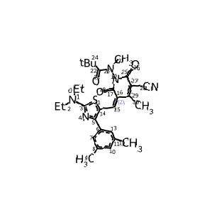 CCN(CC)c1nc(-c2cc(C)cc(C)c2)c(/C=C2\C(=O)N(N(C)C(=O)C(C)(C)C)C(=O)C(C#N)=C2C)s1